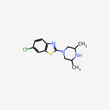 CC1CN(c2nc3ccc(Cl)cc3s2)CC(C)N1